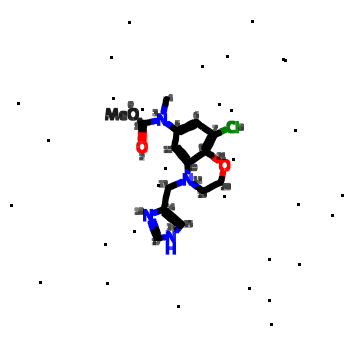 COC(=O)N(C)c1cc(Cl)c2c(c1)N(Cc1c[nH]cn1)CCO2